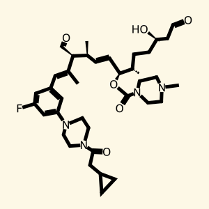 C/C(=C\c1cc(F)cc(N2CCN(C(=O)CC3CC3)CC2)c1)[C@@H](C=O)[C@@H](C)/C=C/[C@H](OC(=O)N1CCN(C)CC1)[C@@H](C)CC[C@@H](O)CC=O